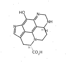 O=C(O)[C@@H]1CC2=c3c(c(O)c4c5c3N1CC[C@@H]5NCN=4)N=C2